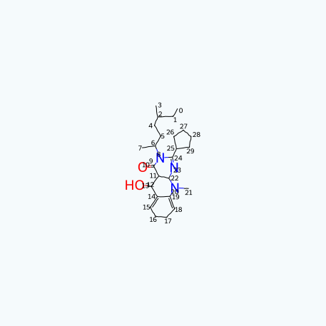 CCC(C)CCC(C)N1C(=O)C2C(O)C3=CCCC=C3N(C)C2N=C1C1CCCC1